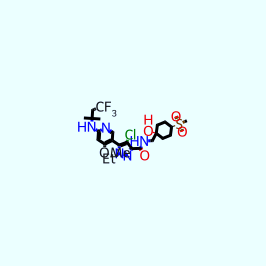 CCn1nc(C(=O)NC[C@]2(O)CC[C@@H](S(C)(=O)=O)CC2)c(Cl)c1-c1cnc(NC(C)(C)CC(F)(F)F)cc1OC